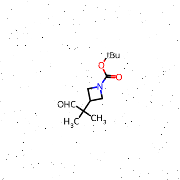 CC(C)(C)OC(=O)N1CC(C(C)(C)C=O)C1